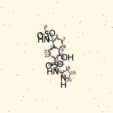 CS(=O)(=O)Nc1cccc2c(O)c(S(=O)(=O)NC3CCCN3)ccc12